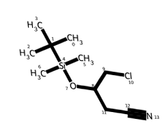 CC(C)(C)[Si](C)(C)OC(CCl)CC#N